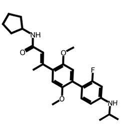 COc1cc(-c2ccc(NC(C)C)cc2F)c(OC)cc1/C(C)=C/C(=O)NC1CCCC1